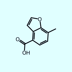 Cc1ccc(C(=O)O)c2ccoc12